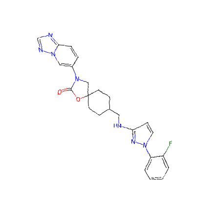 O=C1OC2(CCC(CNc3ccn(-c4ccccc4F)n3)CC2)CN1c1ccc2ncnn2c1